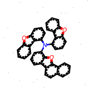 c1ccc2c(c1)ccc1c3cccc(N(c4cccc5oc6ccccc6c45)c4cccc5oc6ccccc6c45)c3oc21